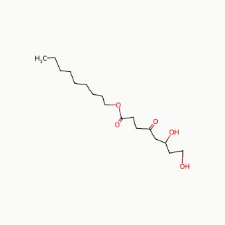 CCCCCCCCCOC(=O)CCC(=O)CC(O)CCO